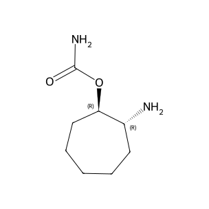 NC(=O)O[C@@H]1CCCCC[C@H]1N